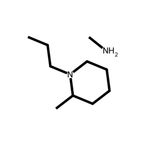 CCCN1CCCCC1C.CN